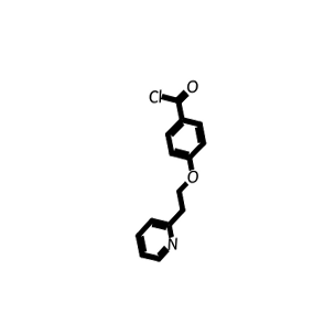 O=C(Cl)c1ccc(OCCc2ccccn2)cc1